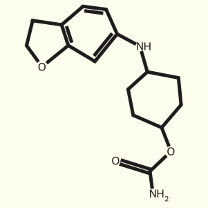 NC(=O)OC1CCC(Nc2ccc3c(c2)OCC3)CC1